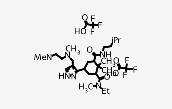 CCN(C)C(=O)C1CC(c2n[nH]cc2CN(C)CCNC)CC(C(=O)NCCC(C)C)C1(C)C.O=C(O)C(F)(F)F.O=C(O)C(F)(F)F